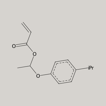 C=CC(=O)OC(C)Oc1ccc(C(C)C)cc1